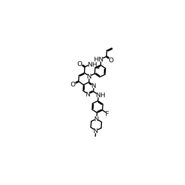 C=CC(=O)Nc1cccc(-n2c(C(N)=O)cc(=O)c3cnc(Nc4ccc(N5CCN(C)CC5)c(F)c4)nc32)c1